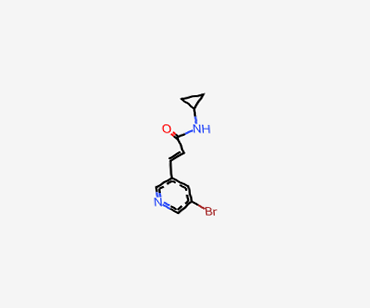 O=C(C=Cc1cncc(Br)c1)NC1CC1